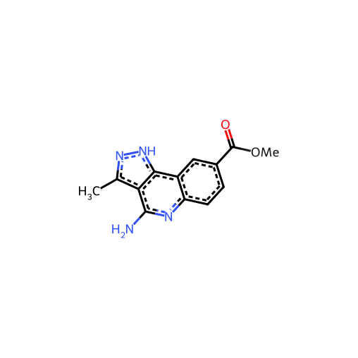 COC(=O)c1ccc2nc(N)c3c(C)n[nH]c3c2c1